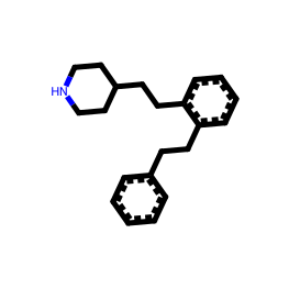 c1ccc(CCc2ccccc2CCC2CCNCC2)cc1